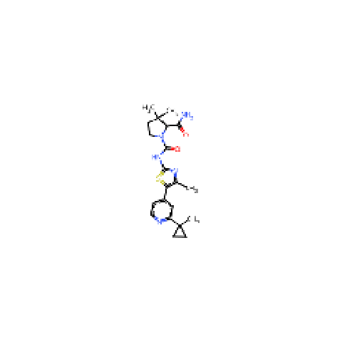 Cc1nc(NC(=O)N2CCC(C)(C)C2C(N)=O)sc1-c1ccnc(C2(C)CC2)c1